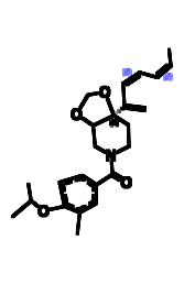 C=C(/C=C\C=C/C)[C@]12CCN(C(=O)c3ccc(OC(C)C)c(C)c3)CC1OCO2